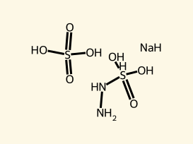 NN[SH](=O)(O)O.O=S(=O)(O)O.[NaH]